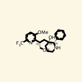 COc1ccc(C(F)(F)F)nc1[C@@H](CO)C[C@]1(O)CCCN[C@H]1c1ccccc1